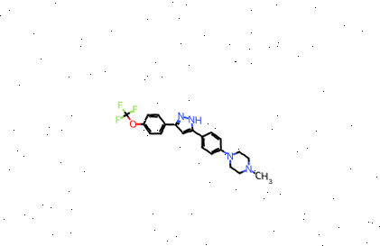 CN1CCN(c2ccc(-c3cc(-c4ccc(OC(F)(F)F)cc4)n[nH]3)cc2)CC1